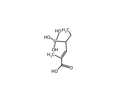 CCC(/C=C(\C)C(=O)O)[Si](O)(O)O